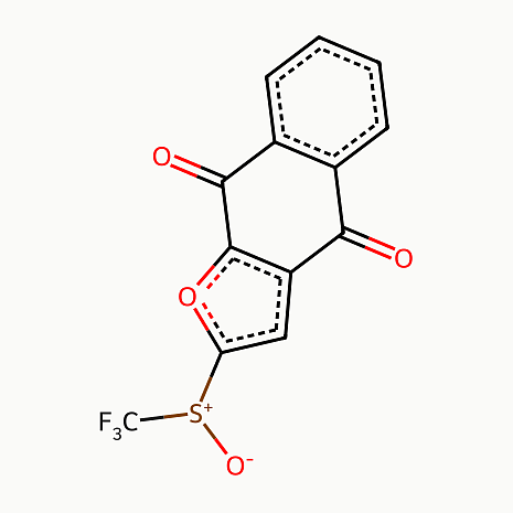 O=C1c2ccccc2C(=O)c2oc([S+]([O-])C(F)(F)F)cc21